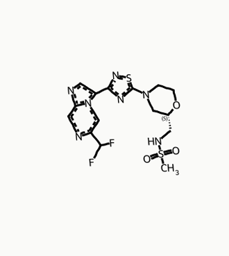 CS(=O)(=O)NC[C@@H]1CN(c2nc(-c3cnc4cnc(C(F)F)cn34)ns2)CCO1